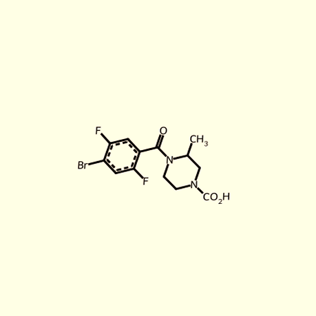 CC1CN(C(=O)O)CCN1C(=O)c1cc(F)c(Br)cc1F